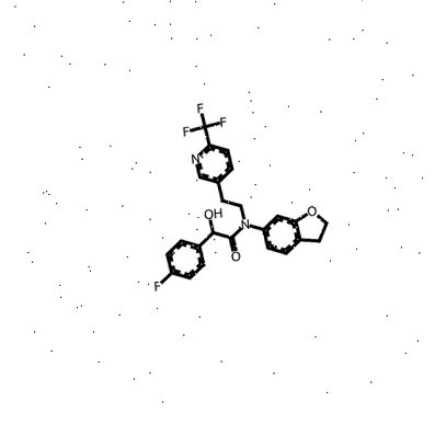 O=C(C(O)c1ccc(F)cc1)N(CCc1ccc(C(F)(F)F)nc1)c1ccc2c(c1)OCC2